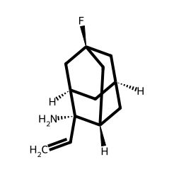 C=C[C@@]1(N)[C@@H]2C[C@@H]3C[C@H]1C[C@@](F)(C3)C2